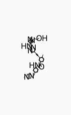 Cc1ccc(C(=O)Nc2ccc(CN3CCN(C)CC3)cc2)cc1C#Cc1cnc(Nc2cnn(CCO)c2)nc1